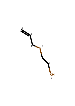 C=CCSCCS